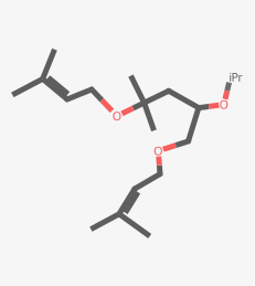 CC(C)=CCOCC(CC(C)(C)OCC=C(C)C)OC(C)C